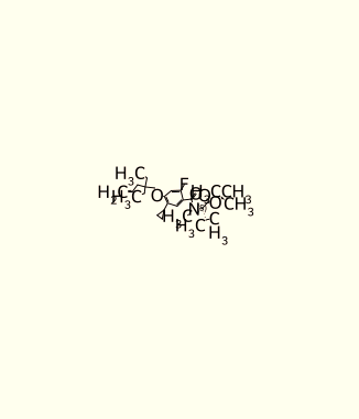 C=CCC(CC)(CC)COc1cc(F)c(C(=O)N(C)[C@H](C(=O)OC(C)(C)C)C(C)C)cc1C1CC1